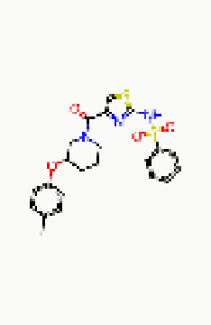 Cc1ccc(OC2CCCN(C(=O)c3csc(NS(=O)(=O)c4ccccc4)n3)C2)cc1